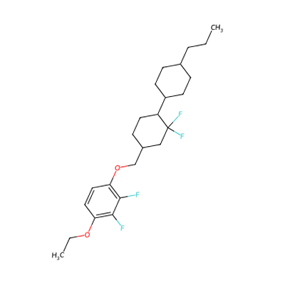 CCCC1CCC(C2CCC(COc3ccc(OCC)c(F)c3F)CC2(F)F)CC1